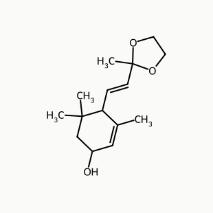 CC1=CC(O)CC(C)(C)C1C=CC1(C)OCCO1